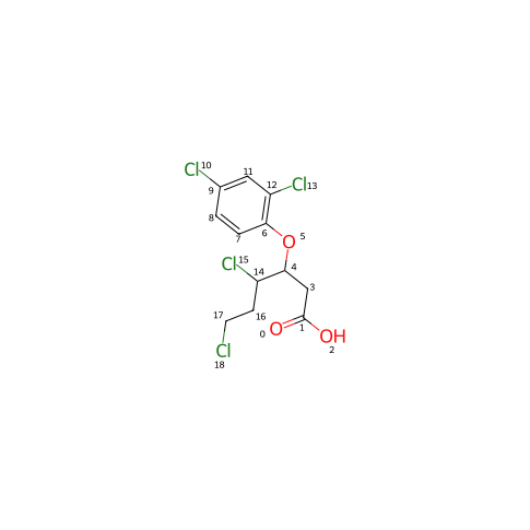 O=C(O)CC(Oc1ccc(Cl)cc1Cl)C(Cl)CCCl